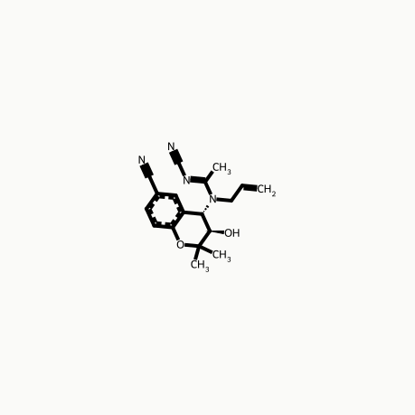 C=CCN(C(C)=NC#N)[C@H]1c2cc(C#N)ccc2OC(C)(C)[C@@H]1O